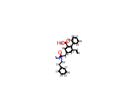 C=Cc1cc(CC(=O)N(C)CCc2ccccc2)cc(C(=O)O)c1-c1ccccc1